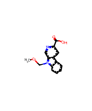 COCn1c2ccccc2c2cc(C(=O)O)ncc21